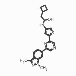 Cc1nn(C)c2cc(-c3cncc(-c4cc(NC(O)CC5CCC5)cs4)n3)ccc12